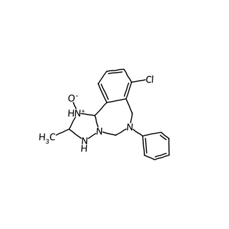 CC1NN2CN(c3ccccc3)Cc3c(Cl)cccc3C2[NH+]1[O-]